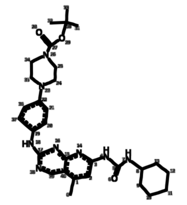 Cc1cc(NC(=O)NC2CCCCC2)nc2nc(Nc3ccc(N4CCN(C(=O)OC(C)(C)C)CC4)cc3)ncc12